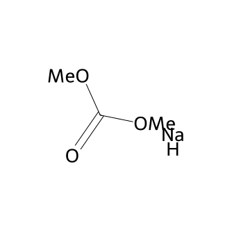 COC(=O)OC.[NaH]